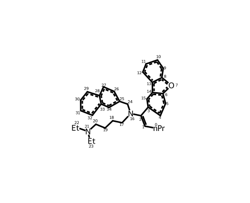 CCC/C=C(\c1ccc2oc3ccccc3c2c1)N(CCCCN(CC)CC)Cc1ccc2ccccc2c1